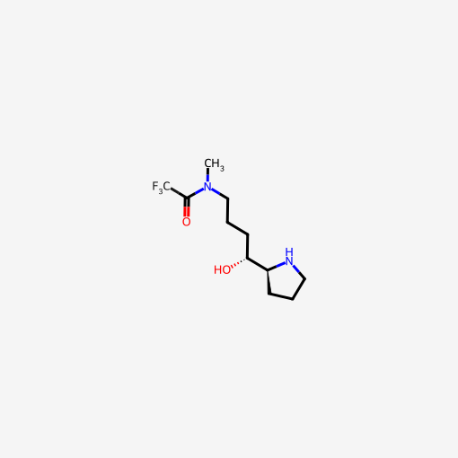 CN(CCC[C@@H](O)[C@@H]1CCCN1)C(=O)C(F)(F)F